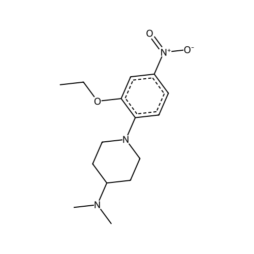 CCOc1cc([N+](=O)[O-])ccc1N1CCC(N(C)C)CC1